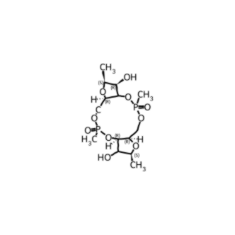 C[C@@H]1O[C@@H]2COP(C)(=O)OC3[C@@H](COP(C)(=O)O[C@@H]2C1O)O[C@@H](C)[C@H]3O